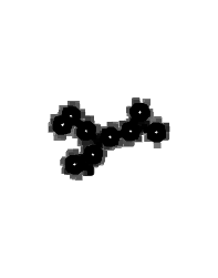 c1ccc(-n2c3ccccc3c3cc(-c4ccc(N(c5ccc(-c6cccc7ccccc67)cc5)c5ccc6sc7ccccc7c6c5)cc4)ccc32)cc1